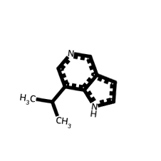 CC(C)c1cncc2cc[nH]c12